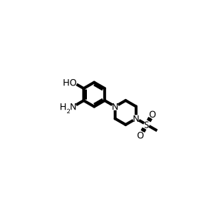 CS(=O)(=O)N1CCN(c2ccc(O)c(N)c2)CC1